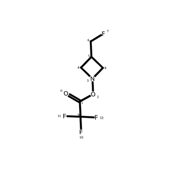 O=C(ON1CC(CF)C1)C(F)(F)F